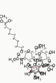 COC(=O)CCCCCCCCO[C@@H]1O[C@H](CO)[C@@H](O[C@@H]2O[C@H](CO)[C@H](O)[C@H](OS(=O)(=O)O)[C@H]2O[C@@H]2O[C@@H](C)[C@@H](O)[C@@H](O)[C@@H]2O)[C@H](O[C@@H]2O[C@@H](C)[C@@H](O)[C@@H](O)[C@@H]2O)[C@H]1NC(C)=O